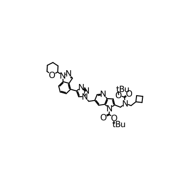 CC(C)(C)OC(=O)N(Cc1cc2ncc(Cn3cc(-c4cccc5c4cnn5C4CCCCO4)nn3)cc2n1C(=O)OC(C)(C)C)CC1CCC1